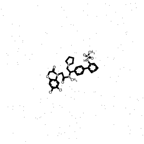 CN(C(=O)CN1C(=O)COc2cc(Cl)c(Cl)cc21)C(CN1CCCC1)c1ccc(-c2ccccc2NS(C)(=O)=O)cc1